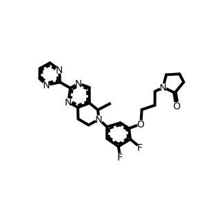 CC1c2cnc(-c3ncccn3)nc2CCN1c1cc(F)c(F)c(OCCCN2CCCC2=O)c1